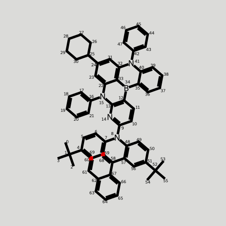 CC(C)(C)c1ccc(N(c2ccc3c(n2)N(c2ccccc2)c2cc(C4CCCCC4)cc4c2B3c2ccccc2N4c2ccccc2)c2ccc(C(C)(C)C)cc2-c2cccc3ccccc23)cc1